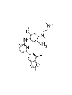 COc1cc(N(C)CCN(C)C)c(N)cc1Nc1nccc(-c2cc(F)c3oc(C)nc3c2)n1